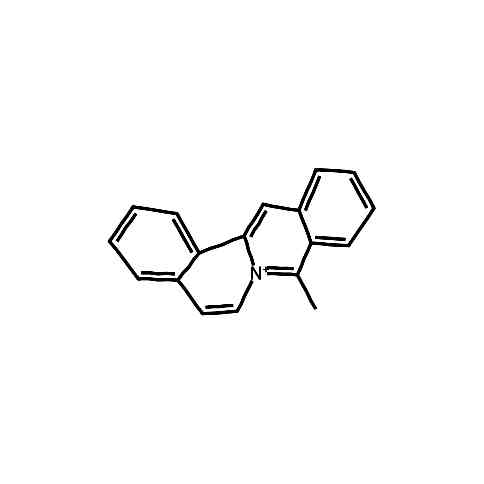 Cc1c2ccccc2cc2c3ccccc3cc[n+]12